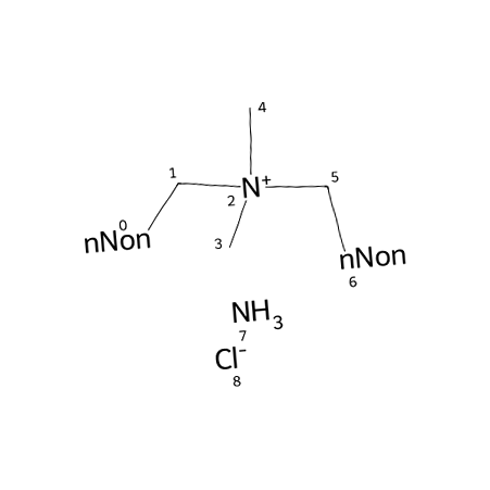 CCCCCCCCCC[N+](C)(C)CCCCCCCCCC.N.[Cl-]